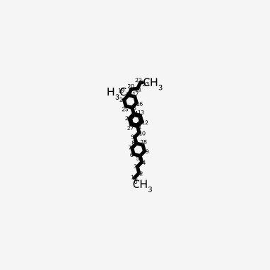 CCCCCC1CCC(CCc2ccc(C3CCC(C)(CCCC)CC3)cc2)CC1